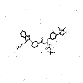 COCCCn1c([C@@H]2CCCN(C(=O)C[C@@H](Cc3ccc(-c4cnc(C)n4C)cc3)NC(=O)OC(C)(C)C)C2)nc2ccccc21